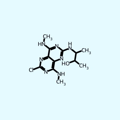 CNc1nc(NC(C)C(C)O)nc2c(NC)nc(Cl)nc12